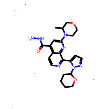 CC1COCCN1c1cc(C(=O)NN)c2ccnc(-c3ccnn3C3CCCCO3)c2n1